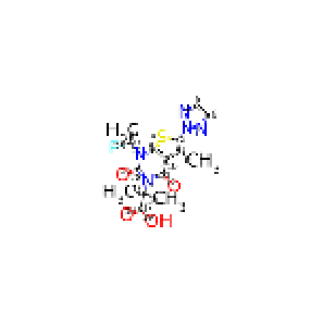 Cc1c(-n2nccn2)sc2c1c(=O)n(C(C)(C)C(=O)O)c(=O)n2C(C)F